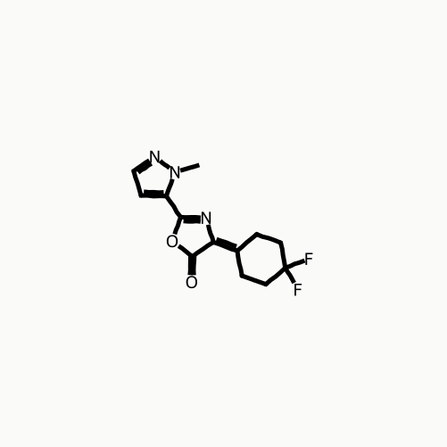 Cn1nccc1C1=NC(=C2CCC(F)(F)CC2)C(=O)O1